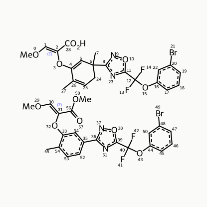 CO/C=C(\OC1=CC(C)(c2noc(C(F)(F)Oc3cccc(Br)c3)n2)CC=C1C)C(=O)O.CO/C=C(\Oc1cc(-c2noc(C(F)(F)Oc3cccc(Br)c3)n2)ccc1C)C(=O)OC